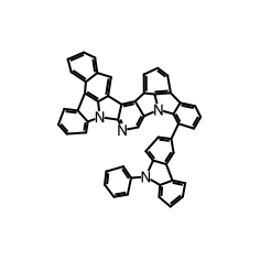 c1ccc(-n2c3ccccc3c3cc(-c4cccc5c6cccc7c8c9c%10cc%11ccccc%11c%11c%12ccccc%12n(c9ncc8n(c45)c67)c%10%11)ccc32)cc1